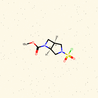 CC(C)(C)OC(=O)N1C[C@H]2CN(S(=O)(=O)Cl)C[C@H]21